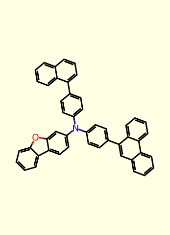 c1ccc2c(-c3ccc(N(c4ccc(-c5cc6ccccc6c6ccccc56)cc4)c4ccc5c(c4)oc4ccccc45)cc3)cccc2c1